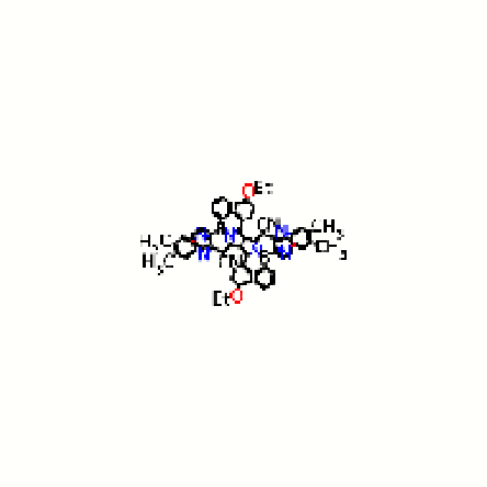 CCOc1ccc(-c2c3/c(=C(\C#N)c4cnc5cc(C)c(C)cc5n4)n(B(c4ccccc4)c4ccccc4)c(-c4ccc(OCC)cc4)c3/c(=C(\C#N)c3cnc4cc(C)c(C)cc4n3)n2B(c2ccccc2)c2ccccc2)cc1